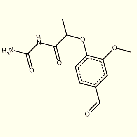 COc1cc(C=O)ccc1OC(C)C(=O)NC(N)=O